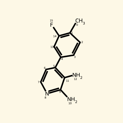 Cc1ccc(-c2ccnc(N)c2N)cc1F